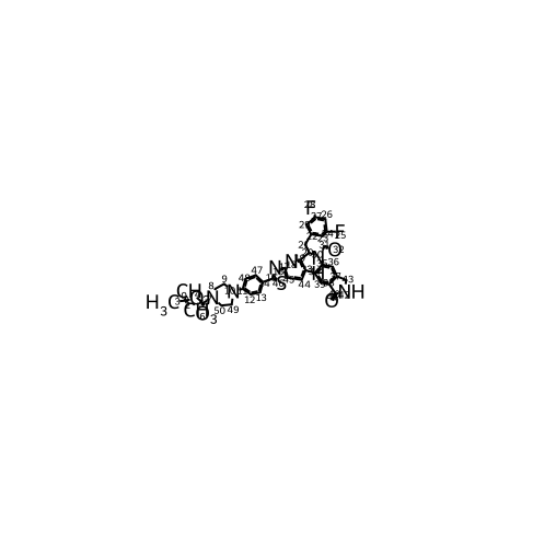 CC(C)(C)OC(=O)N1CCN(c2ccc(-c3nc4nc(C(Cc5cc(F)cc(F)c5)NC=O)c(-c5ccc6c(c5)C(=O)NC6)cc4s3)cc2)CC1